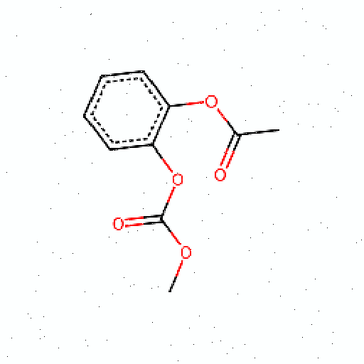 COC(=O)Oc1ccccc1OC(C)=O